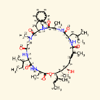 C/C=C(\C)[C@H]1OC(=O)[C@@H](C)NC(=O)C(C(C)CC)NC(=O)CN(C)C(=O)[C@@H](Cc2ccccc2)N(C)C(=O)[C@H](C)NC(=O)[C@@H](CC(C)C)NC(=O)/C(C)=C/C[C@H](O)[C@@H]1C